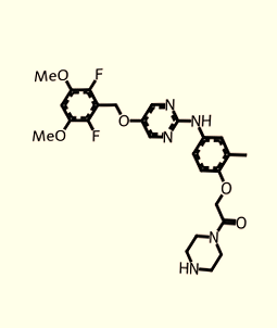 COc1cc(OC)c(F)c(COc2cnc(Nc3ccc(OCC(=O)N4CCNCC4)c(C)c3)nc2)c1F